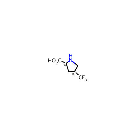 O=C(O)[C@@H]1C[C@H](C(F)(F)F)CN1